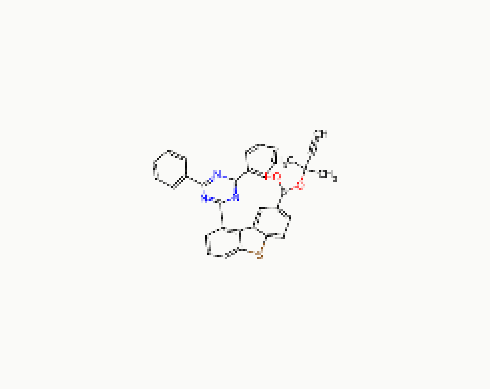 C#CC(C)(C)OB(O)c1ccc2sc3cccc(-c4nc(-c5ccccc5)nc(-c5ccccc5)n4)c3c2c1